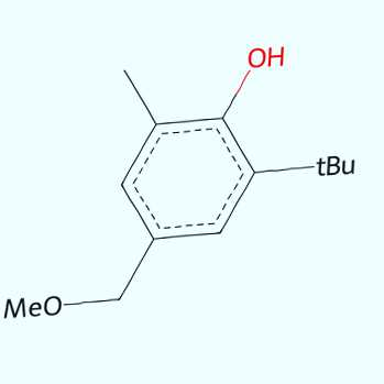 COCc1cc(C)c(O)c(C(C)(C)C)c1